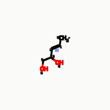 [CH2]/C=C/C(O)CO